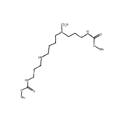 CC(C)(C)OC(=O)NCCCNCCCCN(CCCNC(=O)OC(C)(C)C)C(=O)O